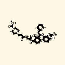 CNC(=O)N1CCN(CCC(=O)NCC(=O)N(C)c2ccc(Cl)c(C(Cc3ccccn3)Oc3cccc4[nH]c(OC)nc34)c2Cl)CC1